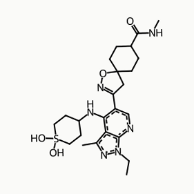 CCn1nc(C)c2c(NC3CCS(O)(O)CC3)c(C3=NOC4(CCC(C(=O)NC)CC4)C3)cnc21